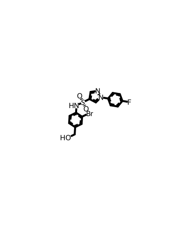 O=S(=O)(Nc1ccc(CO)cc1Br)c1cnn(-c2ccc(F)cc2)c1